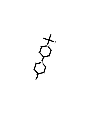 CCC(C)(C)N1CCC(N2CCC(C)CC2)CC1